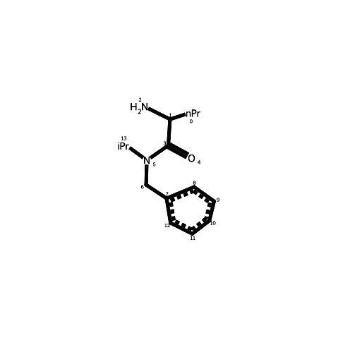 CCCC(N)C(=O)N(Cc1ccccc1)C(C)C